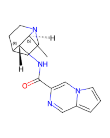 C[C@H]1[C@H](NC(=O)c2cn3cccc3cn2)C2CCN1CC2